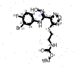 CC(C)(C)OC(=O)NCCSc1nonc1/C(=N/O)Nc1ccc(F)c(Br)c1